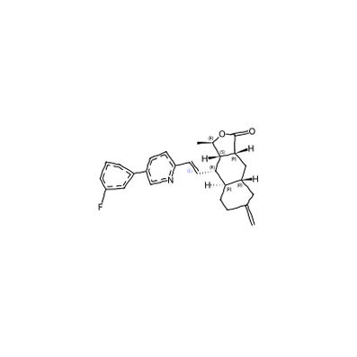 C=C1CC[C@@H]2[C@@H](C1)C[C@H]1C(=O)O[C@H](C)[C@H]1[C@H]2/C=C/c1ccc(-c2cccc(F)c2)cn1